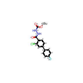 CC(C)(C)OC(=O)NNC(=O)c1ccc(-c2ccc(F)cc2)cc1Cl